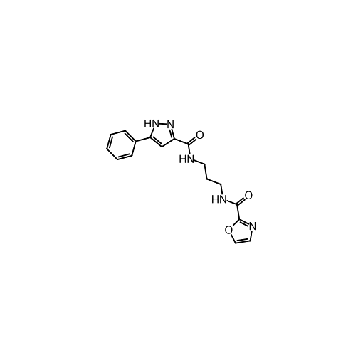 O=C(NCCCNC(=O)c1ncco1)c1cc(-c2ccccc2)[nH]n1